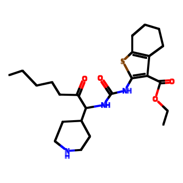 CCCCCC(=O)C(NC(=O)Nc1sc2c(c1C(=O)OCC)CCCC2)C1CCNCC1